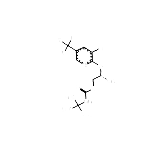 C[C@@H](COC(=O)NC(C)(C)C)Oc1ncc(C(F)(F)F)cc1Cl